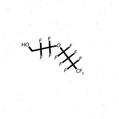 OCC(F)(F)C(F)(F)OC(F)(F)C(F)(F)C(F)(F)C(F)(F)F